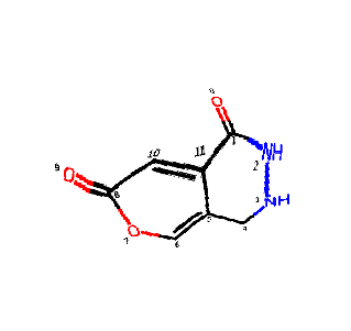 O=C1NNCc2coc(=O)cc21